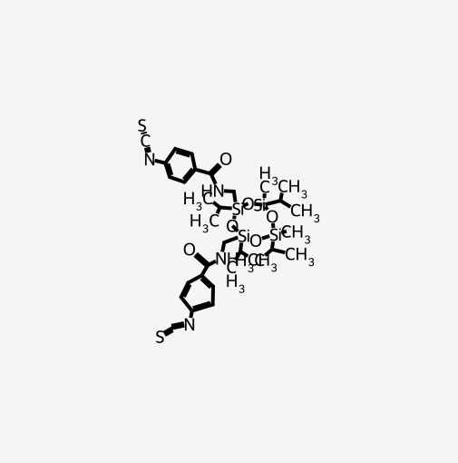 CC(C)[Si]1(C)O[Si](C)(C(C)C)O[Si](CNC(=O)c2ccc(N=C=S)cc2)(C(C)C)O[Si](CNC(=O)c2ccc(N=C=S)cc2)(C(C)C)O1